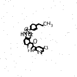 CCCC1C=CC(S(=O)(=O)Nc2ccc(F)c(C(=O)c3c[nH]c4ncc(Cl)cc34)c2F)=CC1